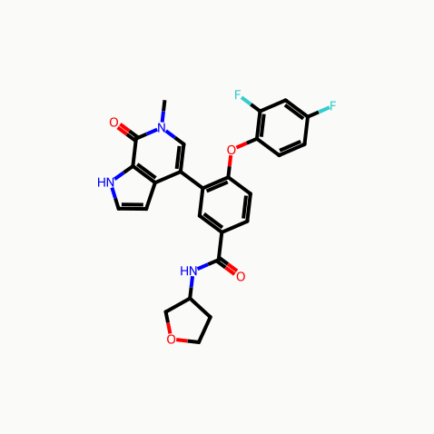 Cn1cc(-c2cc(C(=O)NC3CCOC3)ccc2Oc2ccc(F)cc2F)c2cc[nH]c2c1=O